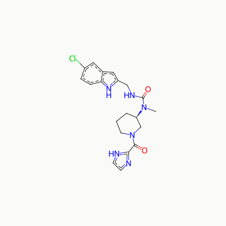 CN(C(=O)NCc1cc2cc(Cl)ccc2[nH]1)[C@@H]1CCCN(C(=O)c2ncc[nH]2)C1